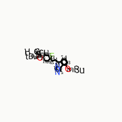 CCCCOc1cccc2c1-c1cncn1C2CCC1(F)CCC(O[Si](C)(C)C(C)(C)C)CC1